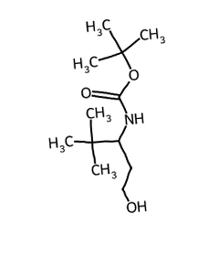 CC(C)(C)OC(=O)NC(CCO)C(C)(C)C